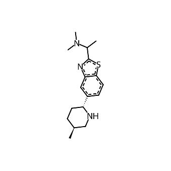 CC(c1nc2cc([C@H]3CC[C@H](C)CN3)ccc2s1)N(C)C